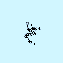 COCCCN1CCOc2ccc(CO[C@H]3CNC[C@@H](OCC(C)O)[C@@H]3c3ccc(OCCCSC)cc3)cc21